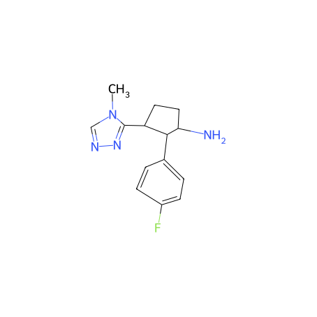 Cn1cnnc1C1CCC(N)C1c1ccc(F)cc1